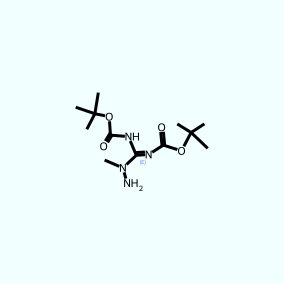 CN(N)/C(=N/C(=O)OC(C)(C)C)NC(=O)OC(C)(C)C